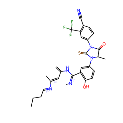 C=C(/C=C(C)/N=C/CCC)N/C(=N\C)c1cc(N2C(=S)N(c3ccc(C#N)c(C(F)(F)F)c3)C(=O)C2C)ccc1O